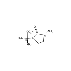 CC(C)(C)[C@@](C)(C(=O)O)N1CC[C@@H](N)C1=O